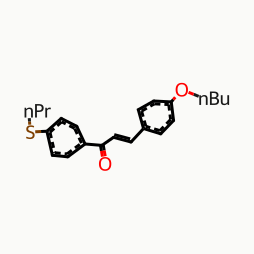 CCCCOc1ccc(/C=C/C(=O)c2ccc(SCCC)cc2)cc1